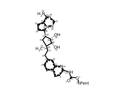 CCCCCOC(=O)Nc1ccc2ccc(CC[C@@]3(C)C[C@@H](c4ccc5c(N)ncnn45)[C@H](O)[C@@H]3O)cc2n1